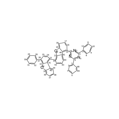 c1ccc(-c2nc(-c3ccccc3)nc(-c3cccc4oc5c(-c6ccc(-c7ccccc7)c7oc8ccccc8c67)cccc5c34)n2)cc1